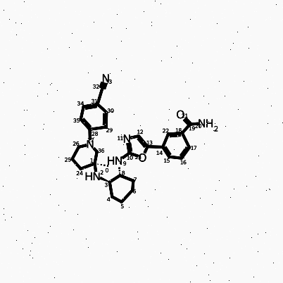 C[C@]1(N[C@@H]2CCCC[C@H]2Nc2ncc(-c3cccc(C(N)=O)c3)o2)CCCN(c2ccc(C#N)cc2)C1